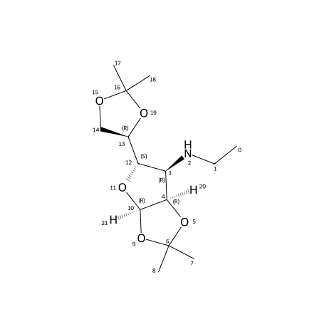 CCN[C@H]1[C@H]2OC(C)(C)O[C@H]2O[C@@H]1[C@H]1COC(C)(C)O1